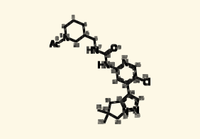 CC(=O)N1CCCC(CNC(=O)Nc2cc(-c3cnn4c3CC(C)(C)C4)c(Cl)cn2)C1